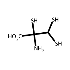 NC(S)(C(=O)O)C(S)S